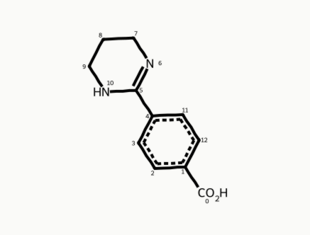 O=C(O)c1ccc(C2=NCCCN2)cc1